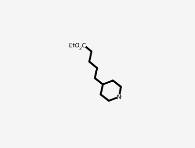 CCOC(=O)CCCCC1CC[N]CC1